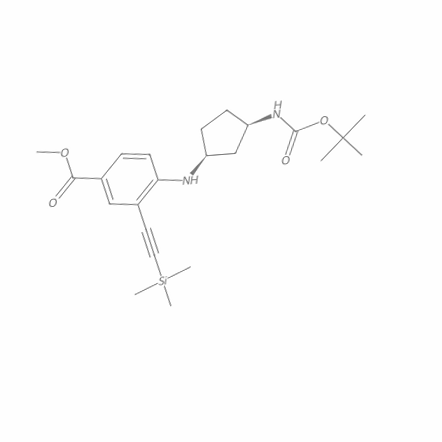 COC(=O)c1ccc(N[C@H]2CC[C@@H](NC(=O)OC(C)(C)C)C2)c(C#C[Si](C)(C)C)c1